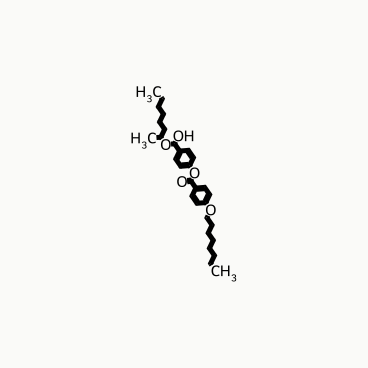 CCCCCCCCOc1ccc(C(=O)Oc2ccc(C(O)OC(C)CCCCCC)cc2)cc1